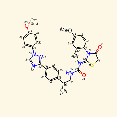 COc1ccc(N2C(=O)CS/C2=N\C(=O)NCC(C#N)c2ccc(-c3ncn(-c4ccc(OC(F)(F)F)cc4)n3)cc2)c(C(C)C)c1